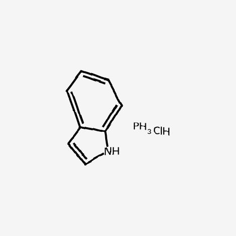 Cl.P.c1ccc2[nH]ccc2c1